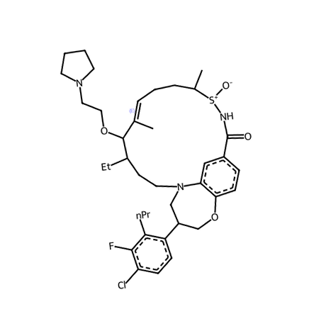 CCCc1c(C2COc3ccc4cc3N(CCC(CC)C(OCCN3CCCC3)/C(C)=C/CCC(C)[S+]([O-])NC4=O)C2)ccc(Cl)c1F